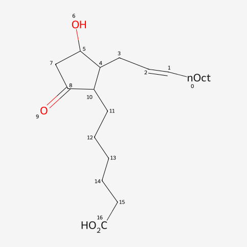 CCCCCCCCC=CCC1C(O)CC(=O)C1CCCCCC(=O)O